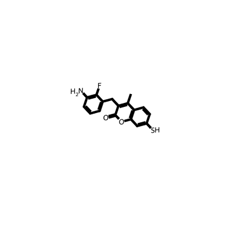 Cc1c(Cc2cccc(N)c2F)c(=O)oc2cc(S)ccc12